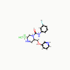 Cl.Cl.O=C(Nc1cccc(F)c1)N1CCNCC1COc1cccnc1